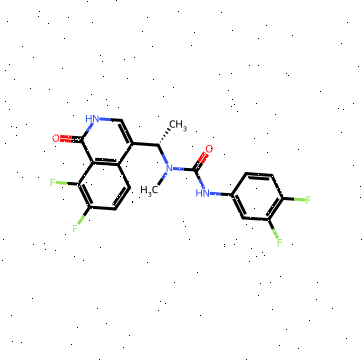 C[C@@H](c1c[nH]c(=O)c2c(F)c(F)ccc12)N(C)C(=O)Nc1ccc(F)c(F)c1